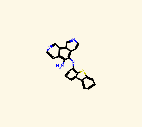 Nc1c(Nc2cccc3c2sc2ccccc23)c2ccncc2c2cnccc12